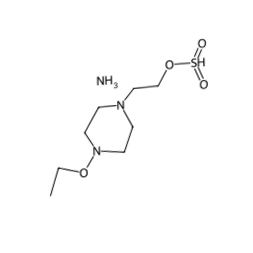 CCON1CCN(CCO[SH](=O)=O)CC1.N